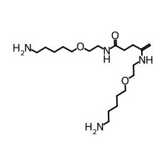 C=C(CCC(=O)NCCOCCCCCN)NCCOCCCCCN